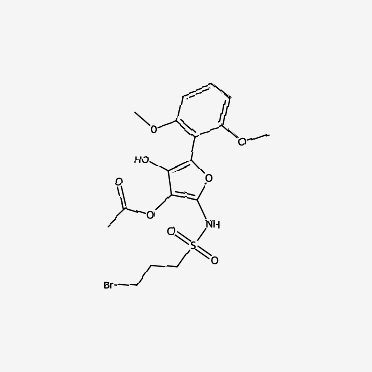 COc1cccc(OC)c1-c1oc(NS(=O)(=O)CCCBr)c(OC(C)=O)c1O